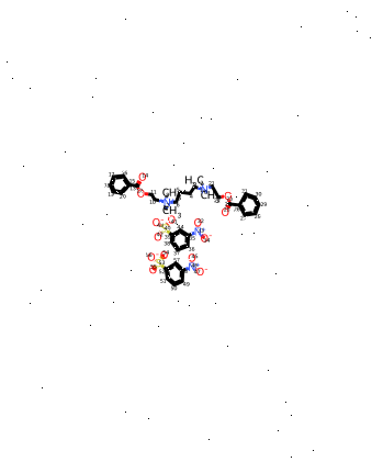 C[N+](C)(CCCC[N+](C)(C)CCOC(=O)c1ccccc1)CCOC(=O)c1ccccc1.O=[N+]([O-])c1cccc(S(=O)(=O)[O-])c1.O=[N+]([O-])c1cccc(S(=O)(=O)[O-])c1